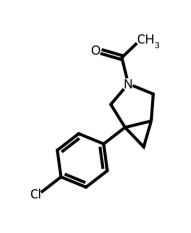 CC(=O)N1CC2CC2(c2ccc(Cl)cc2)C1